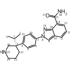 CC(C)[C@]1(c2ccc(-n3cc4cccc(C(N)=O)c4n3)cc2)CCCNC1